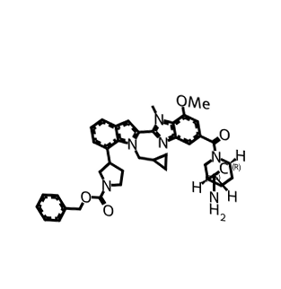 COc1cc(C(=O)N2C[C@H]3CC[C@@H]2C[C@@H]3N)cc2nc(-c3cc4cccc(C5CCN(C(=O)OCc6ccccc6)C5)c4n3CC3CC3)n(C)c12